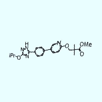 COC(=O)C(C)(C)COc1ccc(-c2ccc(-c3nc(OC(C)C)n[nH]3)cc2)cn1